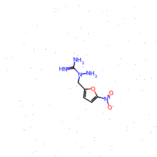 N=C(N)N(N)Cc1ccc([N+](=O)[O-])o1